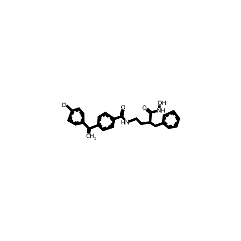 C=C(c1ccc(Cl)cc1)c1ccc(C(=O)NCCC(Cc2ccccc2)C(=O)NO)cc1